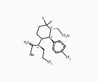 C=C([C@H](CCC(F)(F)F)N1CCC(F)(F)[C@H](CC(=O)O)[C@H]1c1ccc(C(F)(F)F)cc1)C(C)(C)C